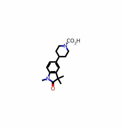 CN1C(=O)C(C)(C)c2cc(C3CCN(C(=O)O)CC3)ccc21